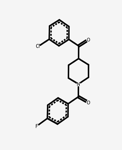 O=C(c1cccc(Cl)c1)C1CCN(C(=O)c2ccc(F)cc2)CC1